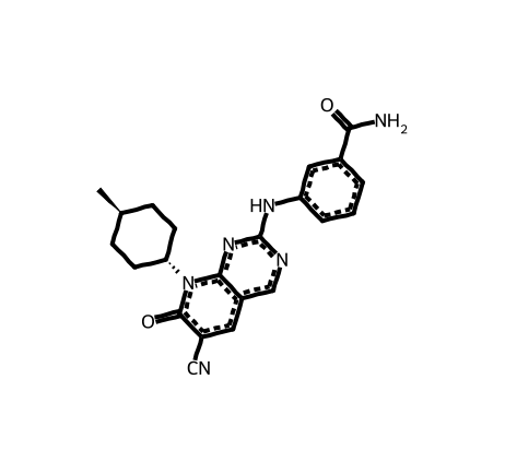 C[C@H]1CC[C@H](n2c(=O)c(C#N)cc3cnc(Nc4cccc(C(N)=O)c4)nc32)CC1